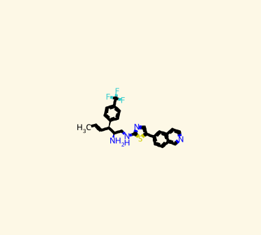 CC=C[C@@H](c1ccc(C(F)(F)F)cc1)[C@H](N)CNc1ncc(-c2ccc3cnccc3c2)s1